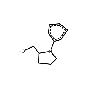 OCC1CCCN1c1c[c]ccc1